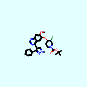 COc1cc2ncnc(-c3cn(C)nc3-c3ccccc3)c2cc1O[C@@H]1CCN(C(=O)OC(C)(C)C)C[C@@H]1F